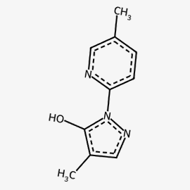 Cc1ccc(-n2ncc(C)c2O)nc1